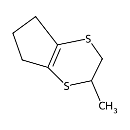 CC1CSC2=C(CCC2)S1